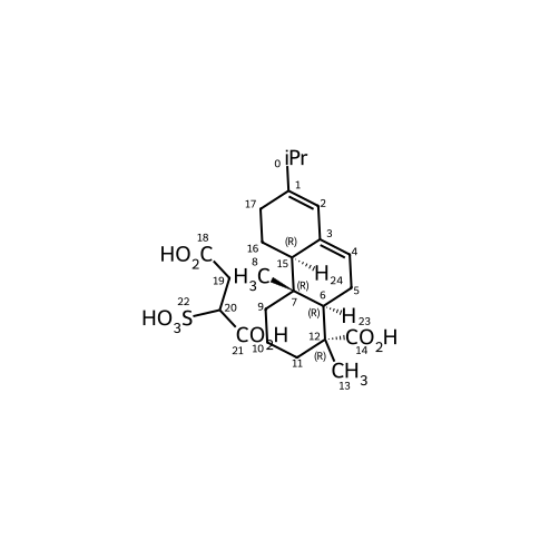 CC(C)C1=CC2=CC[C@@H]3[C@](C)(CCC[C@@]3(C)C(=O)O)[C@H]2CC1.O=C(O)CC(C(=O)O)S(=O)(=O)O